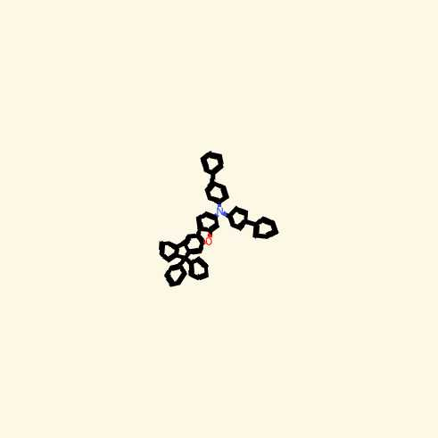 c1ccc(-c2ccc(N(c3ccc(-c4ccccc4)cc3)c3ccc4c(c3)oc3cc5c(cc34)-c3ccccc3C5(c3ccccc3)c3ccccc3)cc2)cc1